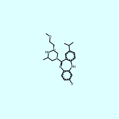 COCC[C@H]1CN(C2=Nc3ccc(F)cc3Nc3ccc(C(C)C)cc32)CC(C)N1